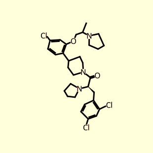 CC(COc1cc(Cl)ccc1C1CCN(C(=O)[C@@H](Cc2ccc(Cl)cc2Cl)N2CCCC2)CC1)N1CCCC1